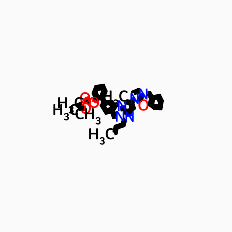 CCCCc1nc2cc(N3CCN(Cc4ccccc4)C3=O)c(C)nc2n1Cc1ccc(-c2ccccc2OC(=O)OC(C)(C)C)cc1